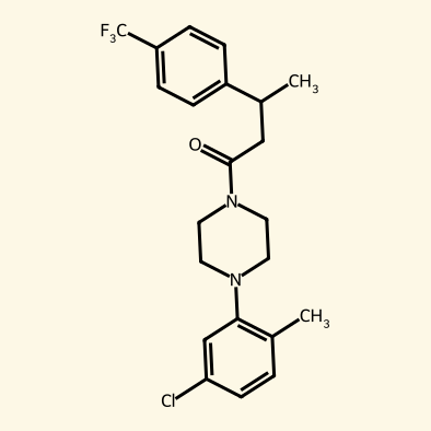 Cc1ccc(Cl)cc1N1CCN(C(=O)CC(C)c2ccc(C(F)(F)F)cc2)CC1